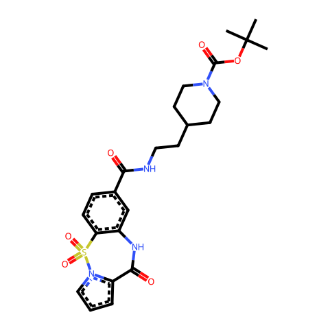 CC(C)(C)OC(=O)N1CCC(CCNC(=O)c2ccc3c(c2)NC(=O)c2cccn2S3(=O)=O)CC1